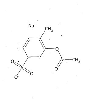 CC(=O)Oc1cc(S(=O)(=O)[O-])ccc1C.[Na+]